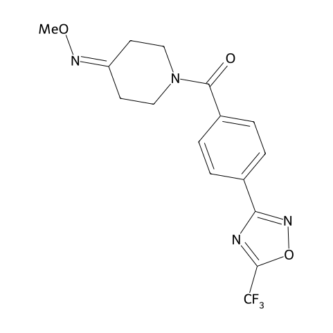 CON=C1CCN(C(=O)c2ccc(-c3noc(C(F)(F)F)n3)cc2)CC1